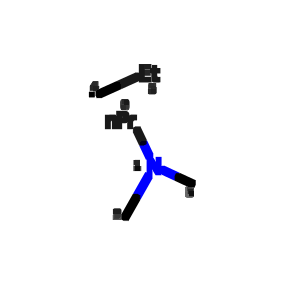 CCCN(C)C.[CH2]CC